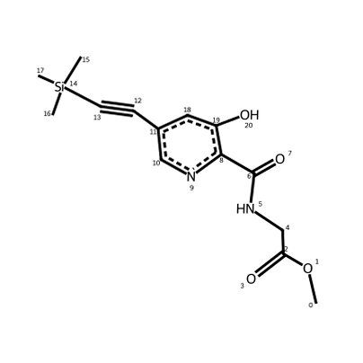 COC(=O)CNC(=O)c1ncc(C#C[Si](C)(C)C)cc1O